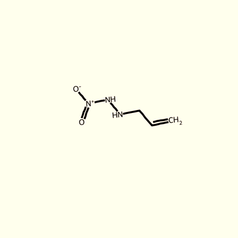 C=CCNN[N+](=O)[O-]